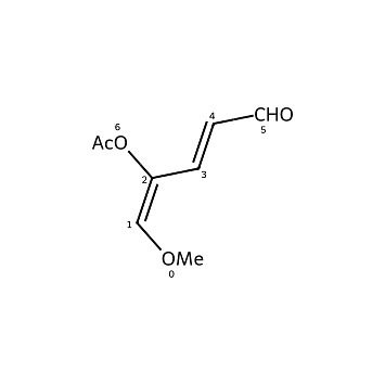 COC=C(C=CC=O)OC(C)=O